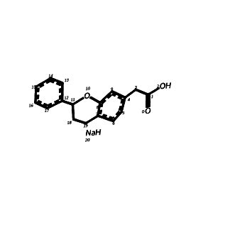 O=C(O)Cc1ccc2c(c1)OC(c1ccccc1)CC2.[NaH]